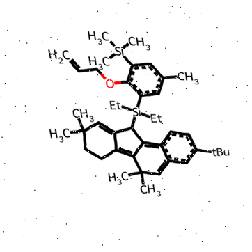 C=CCOc1c([Si](C)(C)C)cc(C)cc1[Si](CC)(CC)C1C2=CC(C)(C)CCC2=C2C1=c1ccc(C(C)(C)C)cc1=CC2(C)C